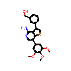 COc1cc(-c2cnc(N)c3c(-c4cccc(CO)c4)csc23)cc(OC)c1OC